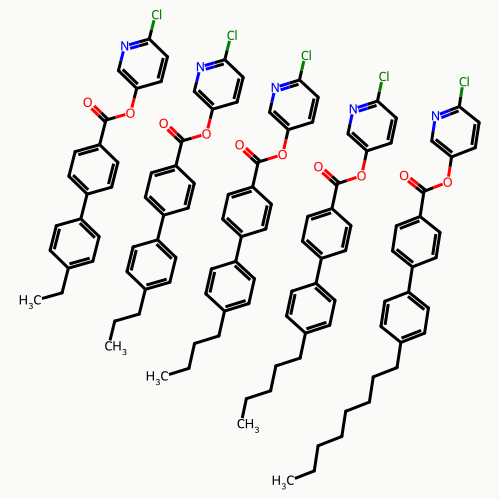 CCCCCCCCc1ccc(-c2ccc(C(=O)Oc3ccc(Cl)nc3)cc2)cc1.CCCCCc1ccc(-c2ccc(C(=O)Oc3ccc(Cl)nc3)cc2)cc1.CCCCc1ccc(-c2ccc(C(=O)Oc3ccc(Cl)nc3)cc2)cc1.CCCc1ccc(-c2ccc(C(=O)Oc3ccc(Cl)nc3)cc2)cc1.CCc1ccc(-c2ccc(C(=O)Oc3ccc(Cl)nc3)cc2)cc1